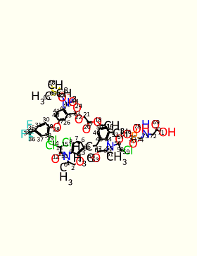 CC1COc2ccccc2N1C(=O)C(Cl)Cl.CCOC(=O)COC(=O)c1cc(Oc2ccc(C(F)(F)F)cc2Cl)ccc1[N+](=O)[O-].CCc1cccc(C)c1N(C(=O)CCl)C(C)COC.C[S+](C)C.O=C(O)CNCP(=O)([O-])O